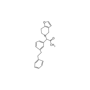 CC(=O)C(c1cccc(CCc2ccccc2)c1)N1CCc2occc2C1